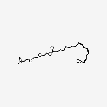 C=[N+](C)CCOCCOCCOC(=O)CCCCCCC/C=C\C/C=C\C/C=C\CC